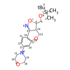 CC(C)(C)[Si](C)(C)OCC1ON=C2c3ccc(N4CCOCC4)cc3OCC21